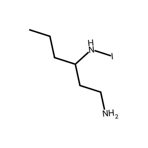 CCCC(CCN)NI